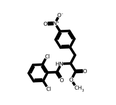 COC(=O)C(Cc1ccc([N+](=O)[O-])cc1)NC(=O)c1c(Cl)cccc1Cl